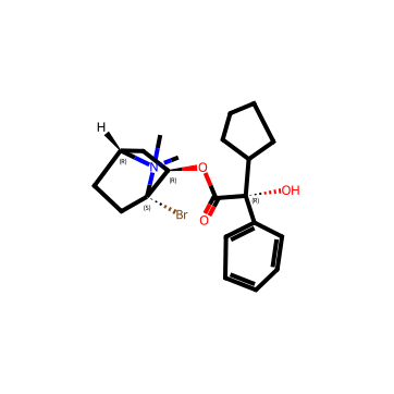 C[N+]1(C)[C@@H]2CC[C@]1(Br)[C@H](OC(=O)[C@](O)(c1ccccc1)C1CCCC1)C2